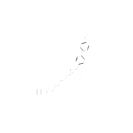 CCCCCCCCOC(=O)c1ccc(-c2ccc(O)cc2)cc1